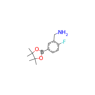 CC1(C)OB(c2ccc(F)c(CN)c2)OC1(C)C